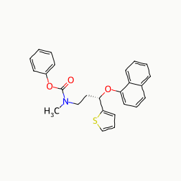 CN(CC[C@H](Oc1cccc2ccccc12)c1cccs1)C(=O)Oc1ccccc1